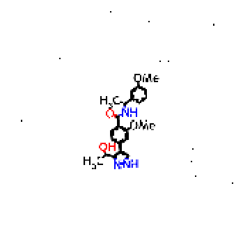 COc1cccc([C@@H](C)NC(=O)c2ccc(-c3c[nH]nc3C(C)O)cc2OC)c1